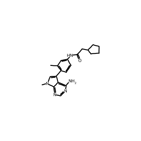 Cc1cc(NC(=O)CC2CCCC2)ccc1-c1cn(C)c2ncnc(N)c12